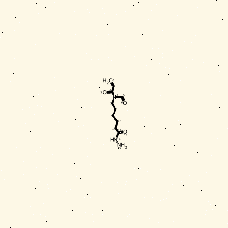 C=CC(=O)N(C=O)CCCCCC(=O)NN